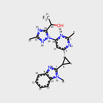 Cc1nc([C@@H]2CC2c2nc3ccccc3n2C)cc(-n2nc(C)nc2C(O)C(F)(F)F)n1